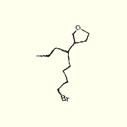 CCCC(CCCCBr)C1CCOC1